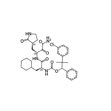 CC(C)(c1cccc(Cl)c1)C(OC(=O)N[C@@H](CC1CCCCC1)C(=O)N[C@@H](C[C@@H]1CCNC1=O)C(=O)C(N)=O)c1ccccc1